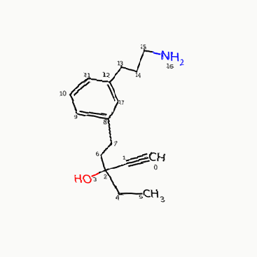 C#CC(O)(CC)CCc1cccc(CCCN)c1